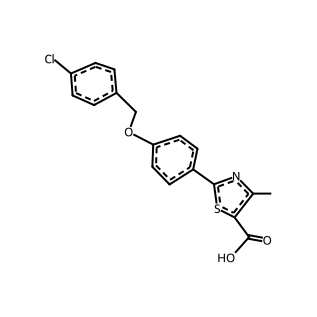 Cc1nc(-c2ccc(OCc3ccc(Cl)cc3)cc2)sc1C(=O)O